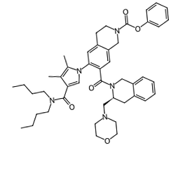 CCCCN(CCCC)C(=O)c1cn(-c2cc3c(cc2C(=O)N2Cc4ccccc4C[C@H]2CN2CCOCC2)CN(C(=O)Oc2ccccc2)CC3)c(C)c1C